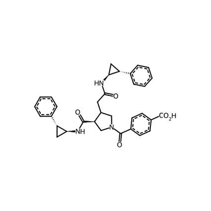 O=C(CC1CN(C(=O)c2ccc(C(=O)O)cc2)C[C@H]1C(=O)N[C@H]1C[C@@H]1c1ccccc1)N[C@H]1C[C@@H]1c1ccccc1